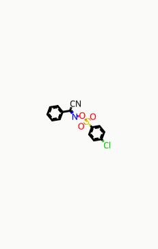 N#C/C(=N\OS(=O)(=O)c1ccc(Cl)cc1)c1ccccc1